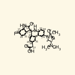 CN(C)CCN(c1ccc(N/C(=C2\C(=O)Nc3cc(F)ccc32)c2ccc(CC(=O)O)cc2)cc1)S(C)(=O)=O